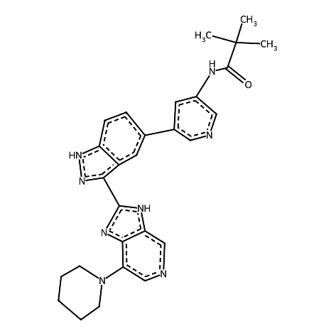 CC(C)(C)C(=O)Nc1cncc(-c2ccc3[nH]nc(-c4nc5c(N6CCCCC6)cncc5[nH]4)c3c2)c1